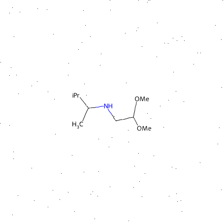 COC(CNC(C)C(C)C)OC